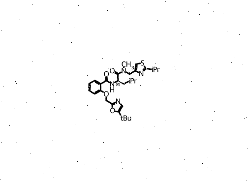 CC(C)C[C@@H](NC(=O)c1ccccc1OCc1ncc(C(C)(C)C)o1)C(=O)N(C)Cc1csc(C(C)C)n1